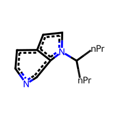 CCCC(CCC)n1ccc2ccncc21